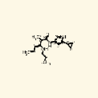 C=C/C=C(\NCCC)C(C)C(=O)Nc1cc(C2CC2)[nH]n1